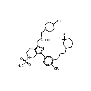 CC(C)(C)C1CCN(C[C@H](O)Cn2nc(-c3ccc(C(F)(F)F)c(SCCN4CCCC(F)(F)C4)c3)c3c2CCN(S(C)(=O)=O)C3)CC1